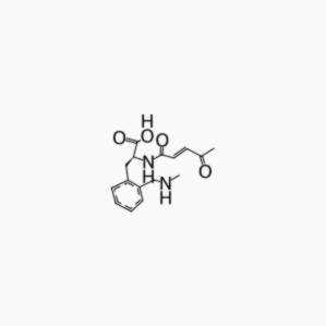 CNCc1ccccc1C[C@H](NC(=O)/C=C/C(C)=O)C(=O)O